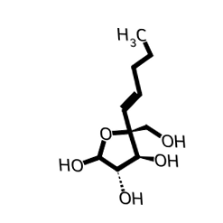 CCC/C=C/[C@@]1(CO)OC(O)[C@@H](O)[C@@H]1O